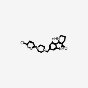 O=c1[nH]c2cc(CN3CCN(c4ccc(Cl)nn4)CC3)cc(F)c2c2c1CCCN2